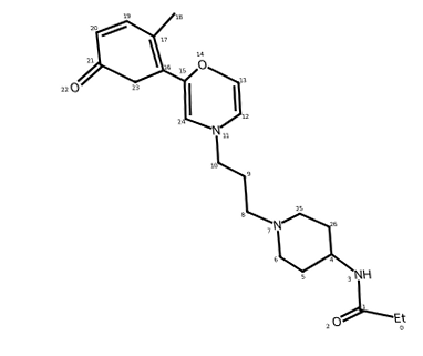 CCC(=O)NC1CCN(CCCN2C=COC(C3=C(C)C=CC(=O)C3)=C2)CC1